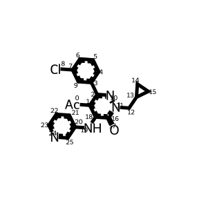 CC(=O)c1c(-c2cccc(Cl)c2)nn(CC2CC2)c(=O)c1Nc1cccnc1